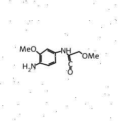 COCC(=C=O)Nc1ccc(N)c(OC)c1